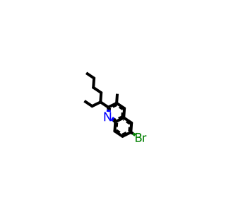 CCCCC(CC)c1nc2ccc(Br)cc2cc1C